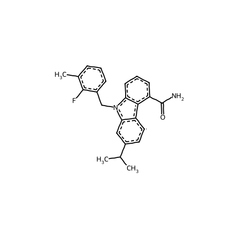 Cc1cccc(Cn2c3cc(C(C)C)c[c]c3c3c(C(N)=O)cccc32)c1F